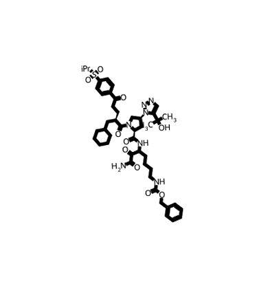 CC(C)S(=O)(=O)c1ccc(C(=O)CC[C@H](CC2CCCCC2)C(=O)N2C[C@@H](n3nncc3C(C)(C)O)C[C@H]2C(=O)NC(CCCCNC(=O)OCc2ccccc2)C(=O)C(N)=O)cc1